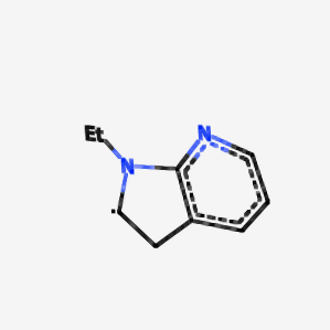 CCN1[CH]Cc2cccnc21